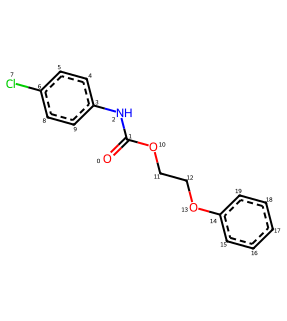 O=C(Nc1ccc(Cl)cc1)OCCOc1ccccc1